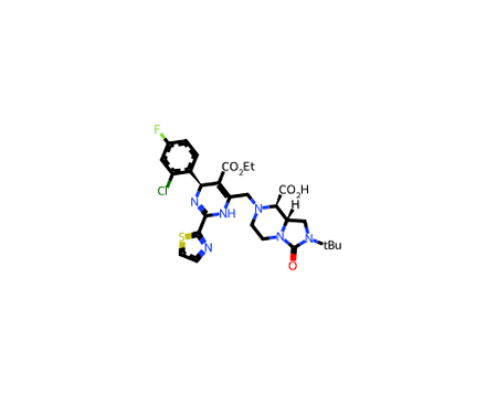 CCOC(=O)C1=C(CN2CCN3C(=O)N(C(C)(C)C)C[C@H]3[C@@H]2C(=O)O)NC(c2nccs2)=N[C@H]1c1ccc(F)cc1Cl